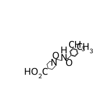 Cc1ccc(C(=O)NCC(=O)N2CCC(C(=O)O)CC2)cc1C